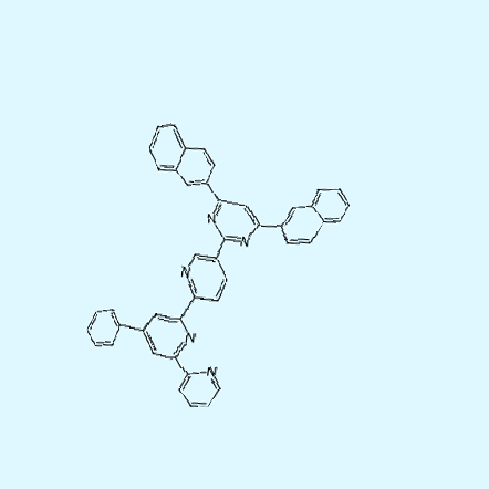 c1ccc(-c2cc(-c3ccccn3)nc(-c3ccc(-c4nc(-c5ccc6ccccc6c5)cc(-c5ccc6ccccc6c5)n4)cn3)c2)cc1